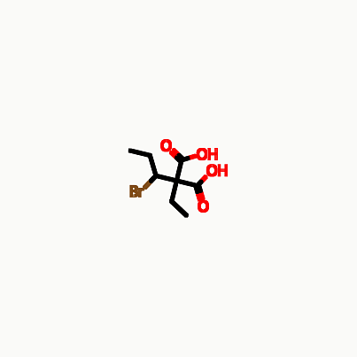 CCC(Br)C(CC)(C(=O)O)C(=O)O